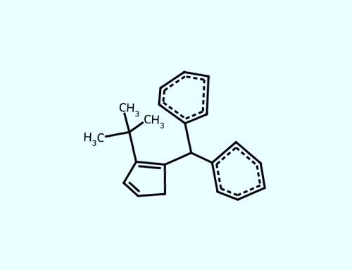 CC(C)(C)C1=C(C(c2ccccc2)c2ccccc2)CC=C1